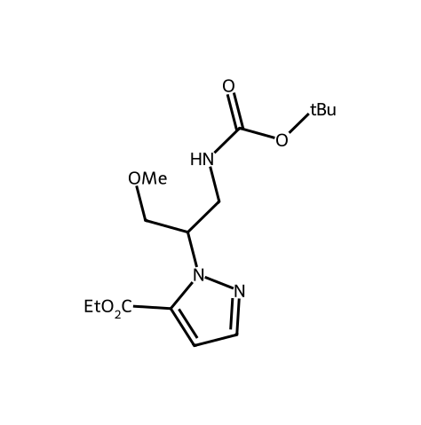 CCOC(=O)c1ccnn1C(CNC(=O)OC(C)(C)C)COC